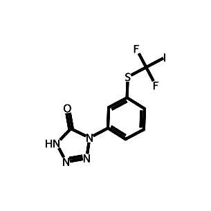 O=c1[nH]nnn1-c1cccc(SC(F)(F)I)c1